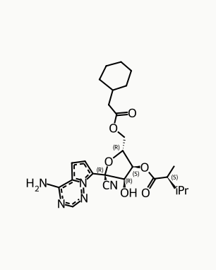 CC(C)[C@H](C)C(=O)O[C@H]1[C@@H](O)[C@](C#N)(c2ccc3c(N)ncnn23)O[C@@H]1COC(=O)CC1CCCCC1